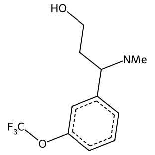 CNC(CCO)c1cccc(OC(F)(F)F)c1